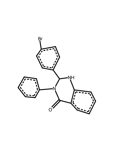 O=C1c2ccccc2NC(c2ccc(Br)cc2)N1c1ccccc1